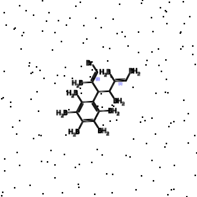 B/C=C(\B)C(B)C(/C(B)=C/Br)c1c(B)c(B)c(B)c(B)c1B